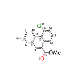 COC(=O)/C=C/c1cc(C)ccc1-c1ccccc1Cl